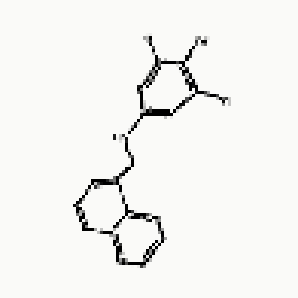 Oc1c(Cl)cc(NCc2cccc3ccccc23)cc1Cl